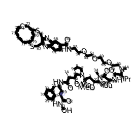 CC[C@H](C)[C@@H]([C@@H](CC(=O)N1CCC[C@H]1[C@H](OC)[C@@H](C)C(=O)N[C@H](/C=C/C(=O)NO)Cc1ccccc1)OC)N(C)C(=O)[C@@H](NC(=O)[C@H](C(C)C)N(C)CCOCCOCCOCCNC(=O)c1ccc2nc3c(nc2c1)CSc1ccccccc(cc1)SC3)C(C)C